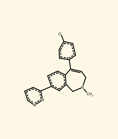 CN1CC=C(c2ccc(Cl)cc2)c2ccc(-c3cccnn3)cc2C1